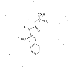 CC(=O)N(C(=O)C[C@H](N)C(=O)O)[C@@H](Cc1ccccc1)C(=O)O